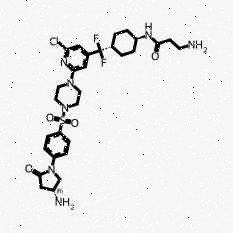 NCCC(=O)N[C@H]1CC[C@H](C(F)(F)c2cc(Cl)nc(N3CCN(S(=O)(=O)c4ccc(N5C[C@H](N)CC5=O)cc4)CC3)c2)CC1